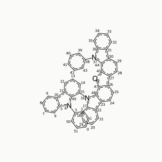 c1ccc(-n2c3ccccc3c3cccc(-n4c5ccccc5c5ccc6c7ccc8c9ccccc9n(-c9ccccc9)c8c7oc6c54)c32)cc1